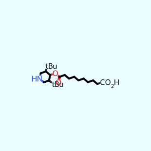 CC(C)(C)C1CNCC(C(C)(C)C)C1OC(=O)CCCCCCCCC(=O)O